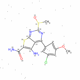 COc1cc(Cl)cc(-c2nc([S+](C)[O-])nc3sc(C(N)=O)c(N)c23)c1